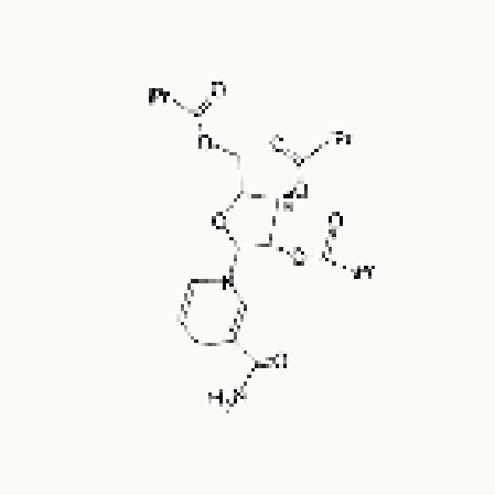 CC(C)C(=O)OCC1OC(N2C=CCC(C(N)=O)=C2)C(OC(=O)C(C)C)[C@@H]1OC(=O)C(C)C